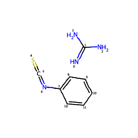 N=C(N)N.S=C=Nc1ccccc1